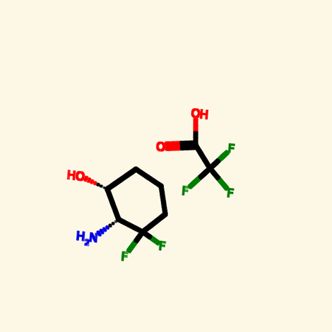 N[C@@H]1[C@H](O)CCCC1(F)F.O=C(O)C(F)(F)F